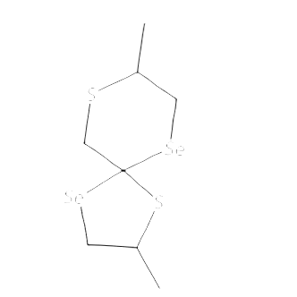 CC1C[Se]C2(CS1)SC(C)C[Se]2